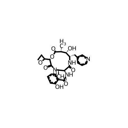 C[C@H]1NC(=O)C(C2CCO2)OC(=O)[C@H](C)[C@H](O)[C@H](Cc2cccnc2)NC(=O)[C@H]1NC(=O)c1ccccc1O